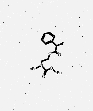 CCCN(CCOC(=O)C(I)c1ccccc1)C(=O)OC(C)(C)C